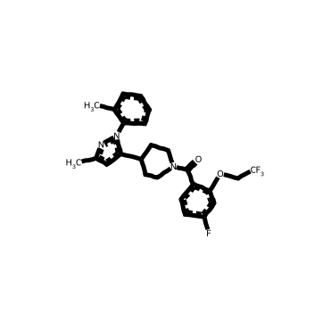 Cc1cc(C2CCN(C(=O)c3ccc(F)cc3OCC(F)(F)F)CC2)n(-c2ccccc2C)n1